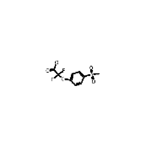 CS(=O)(=O)c1ccc(OC(F)(F)C(=O)O)cc1